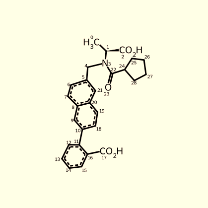 C[C@@H](C(=O)O)N(Cc1ccc2cc(-c3ccccc3C(=O)O)ccc2c1)C(=O)C1CCCC1